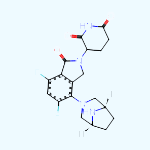 O=C1CCC(N2Cc3c(c(F)cc(F)c3N3C[C@H]4CC[C@@H](C3)N4)C2=O)C(=O)N1